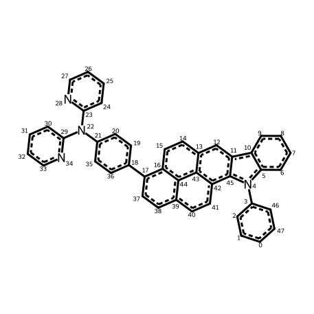 c1ccc(-n2c3ccccc3c3cc4ccc5c(-c6ccc(N(c7ccccn7)c7ccccn7)cc6)ccc6ccc(c4c65)c32)cc1